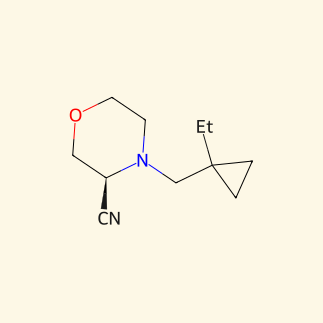 CCC1(CN2CCOC[C@@H]2C#N)CC1